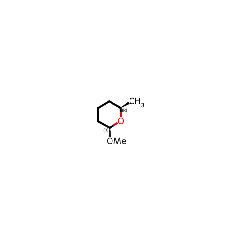 CO[C@H]1CCC[C@@H](C)O1